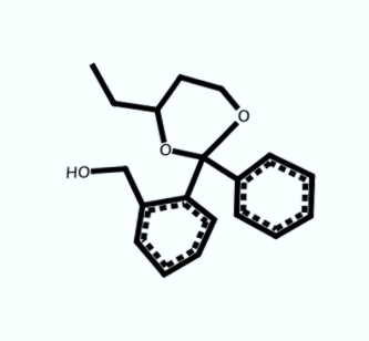 CCC1CCOC(c2ccccc2)(c2ccccc2CO)O1